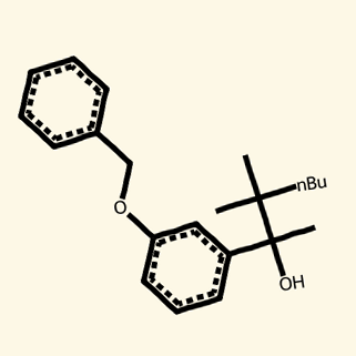 CCCCC(C)(C)C(C)(O)c1cccc(OCc2ccccc2)c1